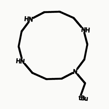 CC(C)(C)CN1CCCNCCNCCCNCC1